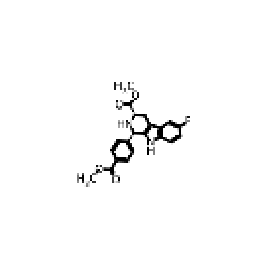 COC(=O)c1ccc([C@H]2N[C@@H](C(=O)OC)Cc3c2[nH]c2ccc(F)cc32)cc1